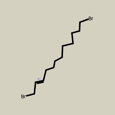 BrC/C=C/CCCCCCCCCBr